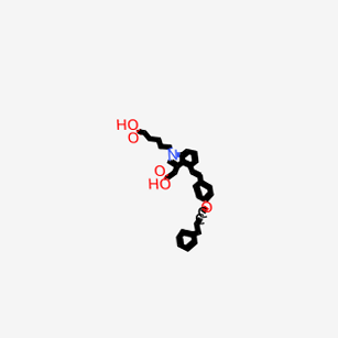 O=C(O)CCCCCn1cc(CC(=O)O)c2c(C=Cc3ccc(OCCCCc4ccccc4)cc3)cccc21